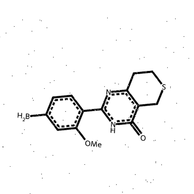 Bc1ccc(-c2nc3c(c(=O)[nH]2)CSCC3)c(OC)c1